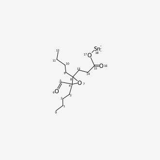 CCCCC1([C]=O)OC1(CCCC)CCC(=O)[O][Sn]